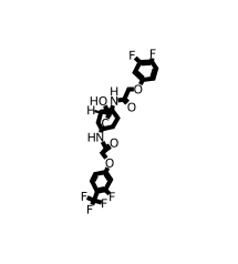 O=C(COc1ccc(C(F)(F)F)c(F)c1)NC12CCC(NC(=O)COc3ccc(F)c(F)c3)(CC1)[C@@H](O)C2